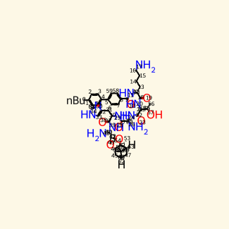 CCCCc1ccc(-c2ccc(C(=O)N[C@@H](CCCCN)C(=O)N[C@H](C(=O)N[C@@H](N)C(=O)NC(Cc3c[nH]cn3)C(=O)N[C@@H](N)B3OC4C[C@@H]5C[C@@H](C5(C)C)[C@]4(C)O3)[C@@H](C)O)cc2)cc1